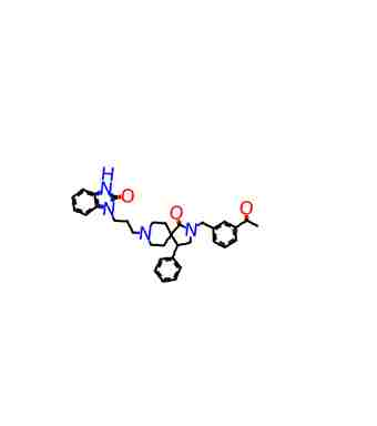 CC(=O)c1cccc(CN2CC(c3ccccc3)C3(CCN(CCCn4c(=O)[nH]c5ccccc54)CC3)C2=O)c1